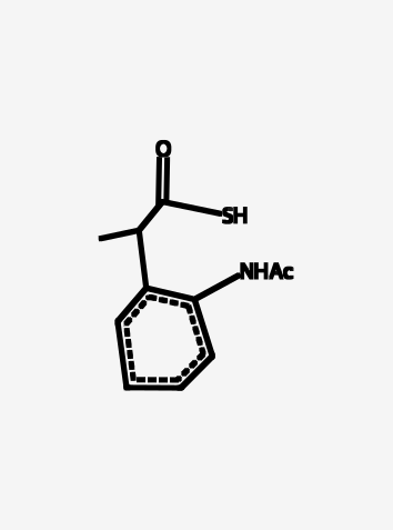 CC(=O)Nc1ccccc1C(C)C(=O)S